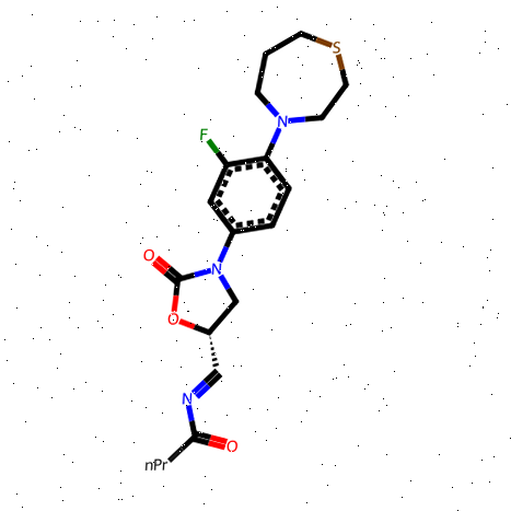 CCCC(=O)/N=C/[C@H]1CN(c2ccc(N3CCCSCC3)c(F)c2)C(=O)O1